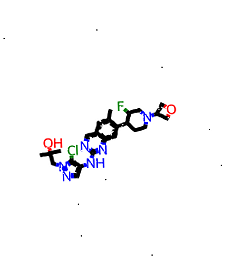 Cc1cc2cnc(Nc3cnn(CC(C)(C)O)c3Cl)nc2cc1C1CCN(C2COC2)CC1F